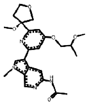 COC(C)COc1cc(-c2cn(C)c3cnc(NC(C)=O)cc23)nc([C@]2(OC)CCOC2)c1